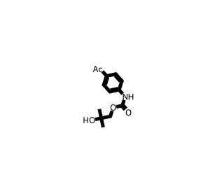 CC(=O)c1ccc(NC(=O)OCC(C)(C)O)cc1